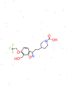 O=C(O)N1CCC(CCc2noc3c(CO)c(OCC(F)(F)F)ccc23)CC1